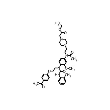 CCOC(=O)CN1CCN(CCN(C(C)=O)c2ccc(N(CCOc3ccc(C(C)=O)cc3)C(=O)Nc3ccccc3C)c(OC)c2)CC1